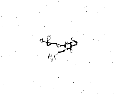 CCCn1c(OCC2CC2(Cl)Cl)nc2sccc2c1=O